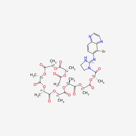 CC(=O)O[C@@H](C)C(=O)O[C@@H](C)C(=O)O[C@@H](C)C(=O)O[C@@H](C)C(=O)O[C@@H](C)C(=O)O[C@@H](C)C(=O)O[C@@H](C)C(=O)O[C@@H](C)C(=O)N1CCN/C1=N\c1ccc2nccnc2c1Br